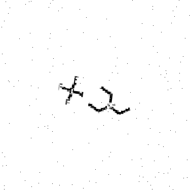 CC[S+](CC)CC.F[B-](F)(F)F